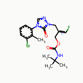 Cc1c(Br)cccc1-n1cnn(C/C(=C\F)COC(=O)NC(C)(C)C)c1=O